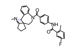 C/N=C1\CCCC12CCN(C(=O)c1ccc(NC(=O)c3cc(F)ccc3C)cc1)c1ccccc1C2